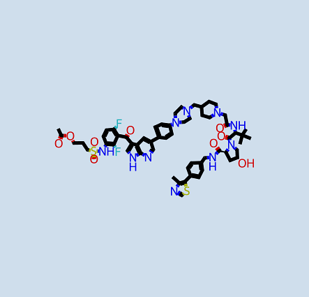 CC(=O)OCCCS(=O)(=O)Nc1ccc(F)c(C(=O)c2c[nH]c3ncc(-c4ccc(N5CCN(CC6CCN(CC(=O)NC(C(=O)N7C[C@H](O)C[C@H]7C(=O)NCc7ccc(-c8scnc8C)cc7)C(C)(C)C)CC6)CC5)cc4)cc23)c1F